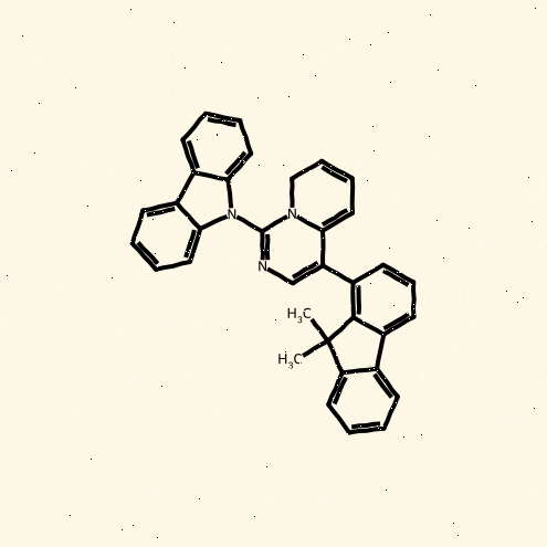 CC1(C)c2ccccc2-c2cccc(C3=CN=C(n4c5ccccc5c5ccccc54)N4CC=CC=C34)c21